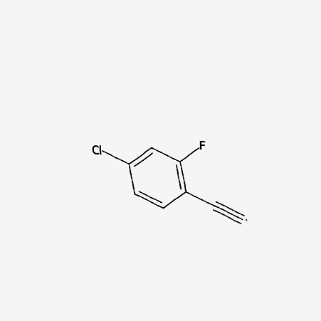 [C]#Cc1ccc(Cl)cc1F